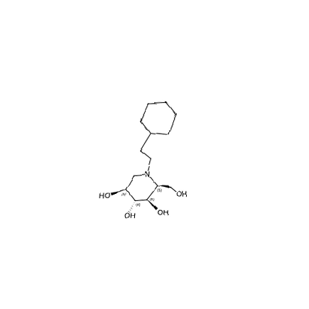 OC[C@H]1[C@@H](O)[C@H](O)[C@@H](O)CN1CCC1CCCCC1